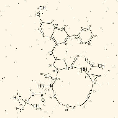 COc1ccc2c(OC3CC4C(=O)NC5(C(=O)O)CC5C=CCCCCCN(NC(=O)OC(C)(C)C)C(=O)N4C3)cc(-c3ccccc3)nc2c1